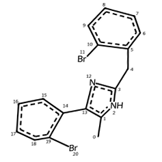 Cc1[nH]c(Cc2ccccc2Br)nc1-c1ccccc1Br